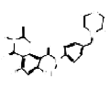 CC(C)N(C)C(=O)c1cc(C(=O)N(C)c2ccc(CN3CCOCC3)cc2)c(O)cc1O